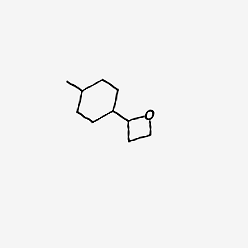 CC1CCC(C2CCO2)CC1